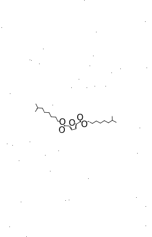 CC(C)CCCCCCOC(=O)c1ccc(C(=O)OCCCCCCC(C)C)o1